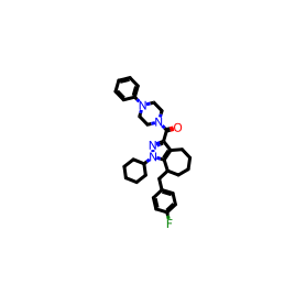 O=C(c1nn(C2CCCCC2)c2c1CCCCC2Cc1ccc(F)cc1)N1CCN(c2ccccc2)CC1